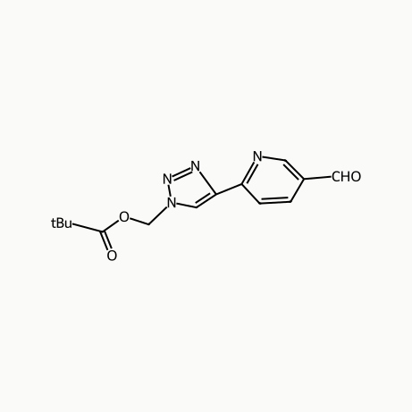 CC(C)(C)C(=O)OCn1cc(-c2ccc(C=O)cn2)nn1